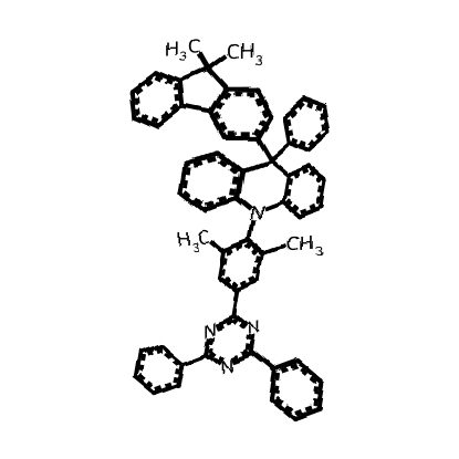 Cc1cc(-c2nc(-c3ccccc3)nc(-c3ccccc3)n2)cc(C)c1N1c2ccccc2C(c2ccccc2)(c2ccc3c(c2)-c2ccccc2C3(C)C)c2ccccc21